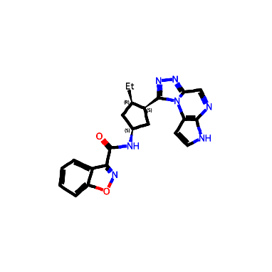 CC[C@@H]1C[C@H](NC(=O)c2noc3ccccc23)C[C@@H]1c1nnc2cnc3[nH]ccc3n12